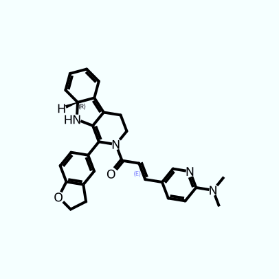 CN(C)c1ccc(/C=C/C(=O)N2CCC3=C4C=CC=C[C@H]4NC3=C2c2ccc3c(c2)CCO3)cn1